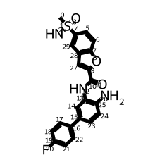 CS(=N)(=O)c1ccc2oc(C(=O)Nc3cc(-c4ccc(F)cc4)ccc3N)cc2c1